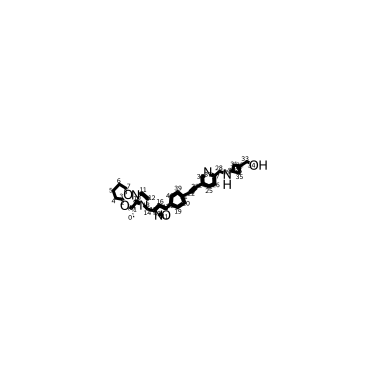 C[C@H](OC1CCCCO1)c1nccn1Cc1cc(-c2ccc(C#Cc3ccc(CNC45CC(CO)(C4)C5)nc3)cc2)on1